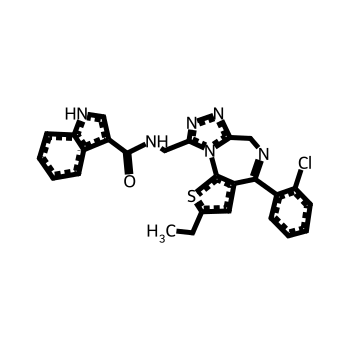 CCc1cc2c(s1)-n1c(nnc1CNC(=O)c1c[nH]c3ccccc13)CN=C2c1ccccc1Cl